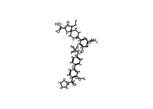 CCC1NC(C(=O)O)CC12CCN(c1cc(O[C@H](c3ccc(-c4ccc(C(=O)N5CCCC5)c(OC)c4)cc3)C(F)(F)F)nc(N)n1)CC2